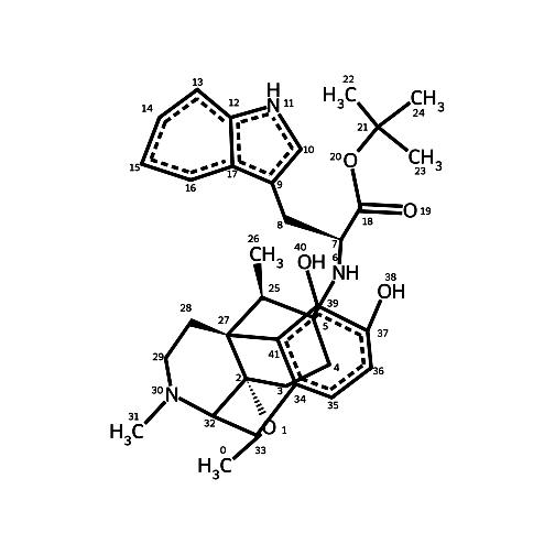 CO[C@@]12CCC(N[C@@H](Cc3c[nH]c4ccccc34)C(=O)OC(C)(C)C)[C@H](C)[C@@]13CCN(C)C2Cc1ccc(O)c(O)c13